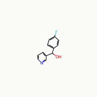 OC(c1ccc(F)cc1)c1cccnc1